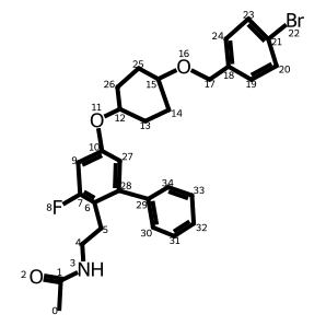 CC(=O)NCCc1c(F)cc(OC2CCC(OCc3ccc(Br)cc3)CC2)cc1-c1ccccc1